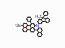 CC(C)(C)c1ccc(-c2ccc(N(c3ccc4c(c3)-c3ccccc3C4(C)c3ccccc3)c3ccc4ccccc4c3-c3ccc(-c4ccccc4)cc3)cc2-c2ccccc2)cc1